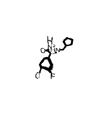 NC(=O)[C@H](CNCC1CCCC1)c1ccc(Cl)c(F)c1